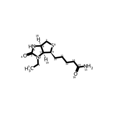 CCN1C(=O)N[C@H]2CS[C@@H](CCCCC(N)=O)[C@H]21